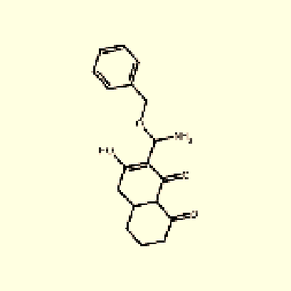 NC(OCc1ccccc1)C1=C(O)CC2CCCC(=O)C2C1=O